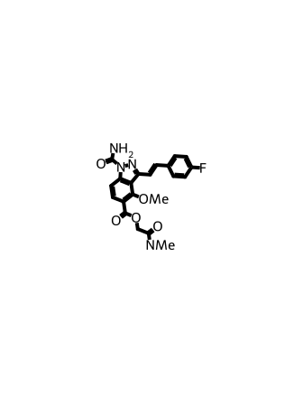 CNC(=O)COC(=O)c1ccc2c(c(C=Cc3ccc(F)cc3)nn2C(N)=O)c1OC